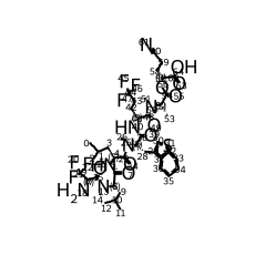 CC(C)C[C@H](NC(=O)[C@H](CC(C)C)N(C)C(=O)[C@@H](N)C(F)(F)F)C(=O)N(C)[C@@H](Cc1csc2ccccc12)C(=O)N[C@@H](CCC(F)(F)F)C(=O)N(C)[C@@H](C)C(=O)O[C@H](CCC#N)C(=O)O